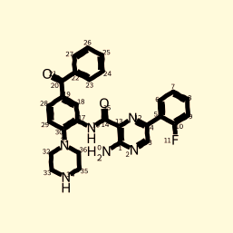 Nc1ncc(-c2ccccc2F)nc1C(=O)Nc1cc(C(=O)c2ccccc2)ccc1N1CCNCC1